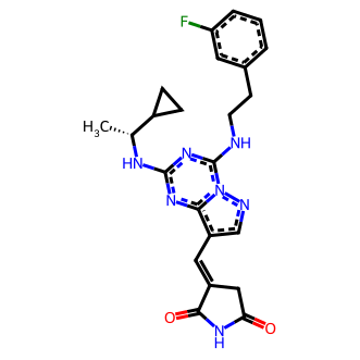 C[C@@H](Nc1nc(NCCc2cccc(F)c2)n2ncc(/C=C3\CC(=O)NC3=O)c2n1)C1CC1